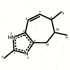 Cc1nc2c([nH]1)C=CC(C)C(C)C2